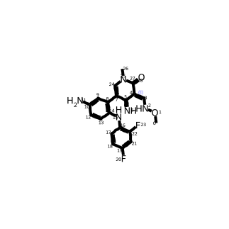 CON/C=C1\C(=N)C(c2cc(N)ccc2Nc2ccc(F)cc2F)=CN(C)C1=O